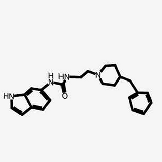 O=C(NCCN1CCC(Cc2ccccc2)CC1)Nc1ccc2cc[nH]c2c1